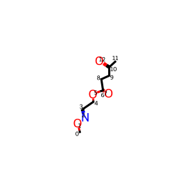 CON=CCOC(=O)CCC(C)=O